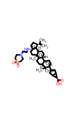 C=C(C)[C@@H]1CC[C@]2(NCCN3CCS(=O)(=O)CC3)CC[C@]3(C)[C@H](CC[C@@H]4[C@@]5(C)CC=C(C6=CC7C(C6)[C@@H]7C(=O)O)C(C)(C)[C@@H]5CC[C@]43C)[C@@H]12